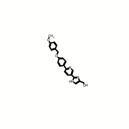 COc1ccc(COc2ccc(-c3ccc(-c4nc(CO)c[nH]4)cn3)cc2)cc1